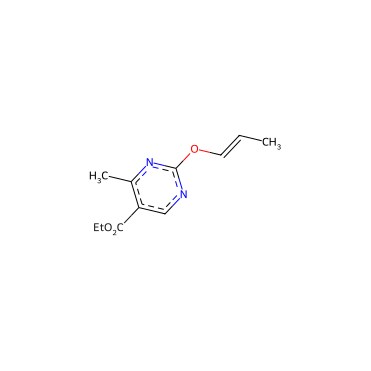 CC=COc1ncc(C(=O)OCC)c(C)n1